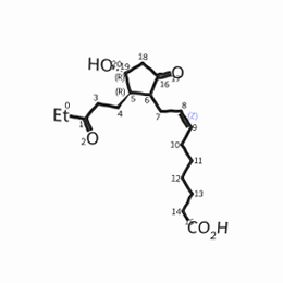 CCC(=O)CC[C@@H]1C(C/C=C\CCCCCC(=O)O)C(=O)C[C@H]1O